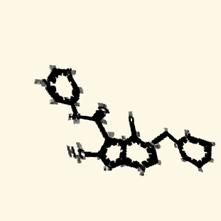 Cc1sc2ncn(Cc3ccccn3)c(=O)c2c1C(=O)Nc1cncnc1